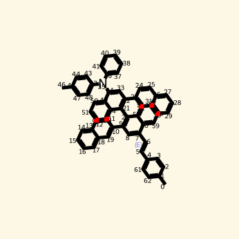 Cc1ccc(/C=C/c2cc(-c3ccc4ccccc4c3)c(-c3c(-c4ccc5ccccc5c4)cc(N(c4ccccc4)c4ccc(C)cc4)c4ccccc34)c3ccccc23)cc1